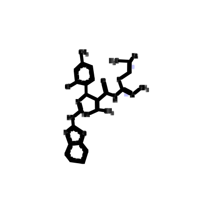 CC/C(C)=C/S/C(=N\C)NC(=O)C1=C(C)NC(Nc2nc3ccccc3o2)=NC1c1ccc(C)cc1Cl